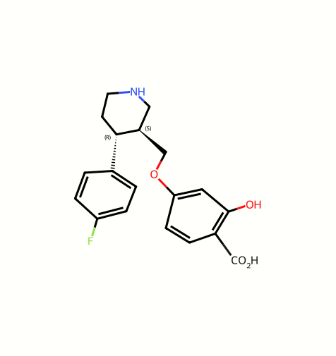 O=C(O)c1ccc(OC[C@@H]2CNCC[C@H]2c2ccc(F)cc2)cc1O